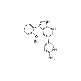 CCOC1=CCCC=C1c1c[nH]c2c1C=C(C1=CC=C(N)NC1)CN2